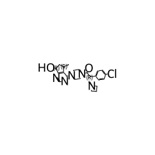 C[C@@H]1C[C@@H](O)c2ncnc(N3CCN(C(=O)[C@@H](CN4CCC4)c4ccc(Cl)cc4)CC3)c21